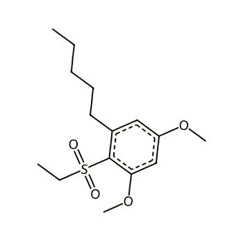 CCCCCc1cc(OC)cc(OC)c1S(=O)(=O)CC